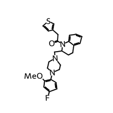 COc1cc(F)ccc1N1CCN(CC2CCc3ccccc3N2C(=O)Cc2ccsc2)CC1